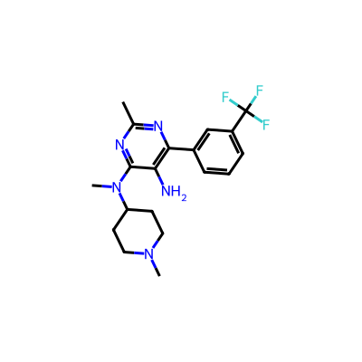 Cc1nc(-c2cccc(C(F)(F)F)c2)c(N)c(N(C)C2CCN(C)CC2)n1